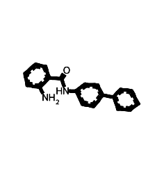 Nc1ccccc1C(=O)Nc1ccc(-c2ccccc2)cc1